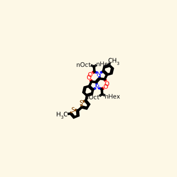 CCCCCCCCC(CCCCCC)C(=O)N1/C(=C2\C(=O)c3ccc(-c4ccc(-c5ccc(C)s5)s4)cc3N2C(=O)C(CCCCCC)CCCCCCCC)C(=O)c2ccc(C)cc21